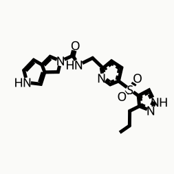 CCCc1n[nH]cc1S(=O)(=O)c1ccc(CNC(=O)N2C=C3C=CNC=C3C2)nc1